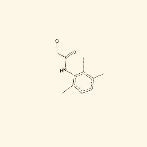 Cc1ccc(C)c(NC(=O)CCl)c1C